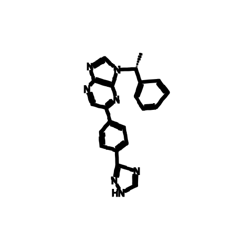 C[C@H](c1ccccc1)n1cnc2ncc(-c3ccc(-c4nc[nH]n4)cc3)nc21